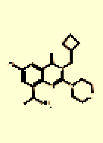 CC(N)c1cc(Cl)cc2c(=O)n(CC3CCC3)c(N3CCOCC3)nc12